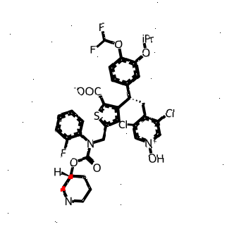 CC(C)Oc1cc([C@H](Cc2c(Cl)c[n+](O)cc2Cl)c2cc(CN(C(=O)O[C@H]3CN4CCC3CC4)c3ccccc3F)sc2C(=O)[O-])ccc1OC(F)F